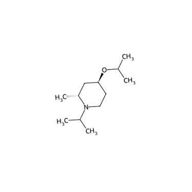 CC(C)O[C@H]1CCN(C(C)C)[C@H](C)C1